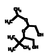 CC(C)OC(CO)OC(CO)C(C)(C)C